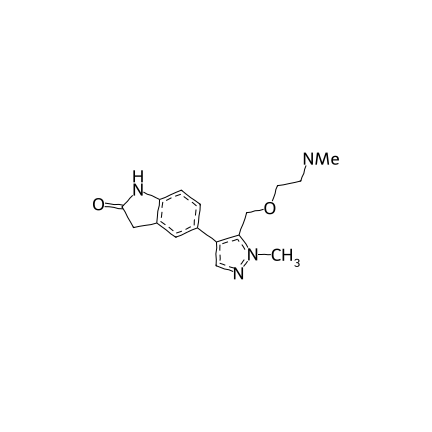 CNCCOCc1c(-c2ccc3c(c2)CC(=O)N3)cnn1C